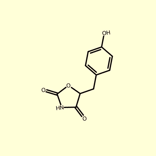 O=C1NC(=O)C(Cc2ccc(O)cc2)O1